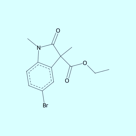 CCOC(=O)C1(C)C(=O)N(C)c2ccc(Br)cc21